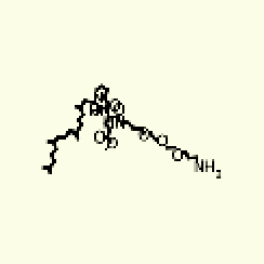 COC(=O)CCC(NC(=O)C1CCCN1C(=O)CC(C)CCCC(C)CCCC(C)CCCC(C)C)C(=O)NCCCOCCOCCOCCCN